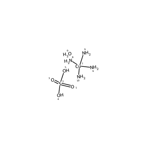 O.O=S(=O)(O)O.[NH2][Cu]([NH2])([NH2])[NH2]